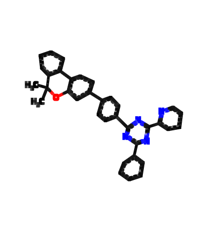 CC1(C)Oc2cc(-c3ccc(-c4nc(-c5ccccc5)nc(-c5ccccn5)n4)cc3)ccc2-c2ccccc21